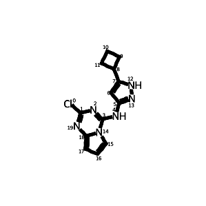 Clc1nc(Nc2cc(C3CCC3)[nH]n2)n2cccc2n1